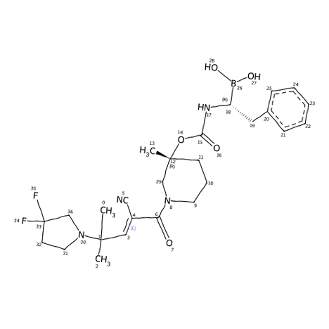 CC(C)(/C=C(\C#N)C(=O)N1CCC[C@@](C)(OC(=O)N[C@@H](Cc2ccccc2)B(O)O)C1)N1CCC(F)(F)C1